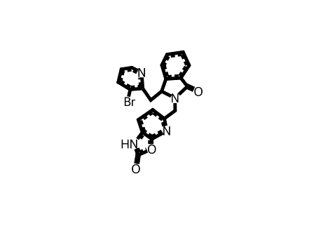 O=C1c2ccccc2C(Cc2ncccc2Br)N1Cc1ccc2[nH]c(=O)oc2n1